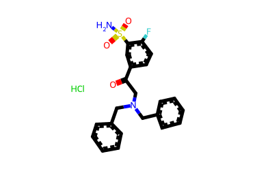 Cl.NS(=O)(=O)c1cc(C(=O)CN(Cc2ccccc2)Cc2ccccc2)ccc1F